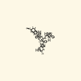 C#Cc1ccc2[nH]c(S(=O)(=O)N3CCN(C(=O)c4nc5c(s4)CNC(C)C5)C(CCC4NSC(=O)N4)C3)cc2c1